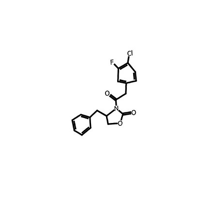 O=C(Cc1ccc(Cl)c(F)c1)N1C(=O)OCC1Cc1ccccc1